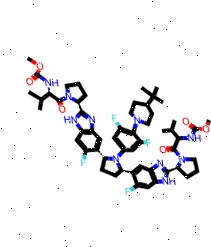 COC(=O)NC(C(=O)N1CCC[C@H]1c1nc2cc([C@H]3CC[C@H](c4cc5nc([C@@H]6CCCN6C(=O)[C@@H](NC(=O)OC)C(C)C)[nH]c5cc4F)N3c3cc(F)c(N4CCC(C(C)(C)C)CC4)c(F)c3)c(F)cc2[nH]1)C(C)C